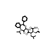 C=CC[C@H](C(N)=O)[C@@H](CC(C)C)C(=O)NC1N=C(c2ccccc2)c2ccccc2N(C(C)C)C1=O